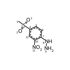 CS(=O)(=O)c1ccc(NN)c([N+](=O)[O-])c1